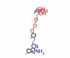 Cc1ccc2c(c1)nc(N)c1ncc(CCc3ccc(OCCOCCOCCCC(F)(F)[PH](O)(O)O)cc3C)cc12